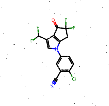 N#Cc1cc(-n2cc(C(F)F)c3c2CC(F)(F)C3=O)ccc1Cl